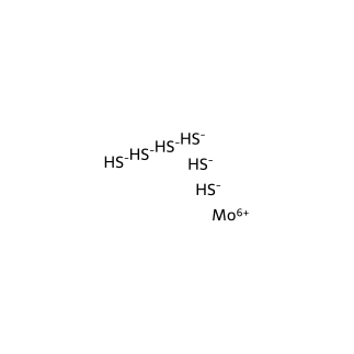 [Mo+6].[SH-].[SH-].[SH-].[SH-].[SH-].[SH-]